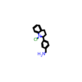 NCc1ccc(C2CCc3ccccc3N2Cl)cc1